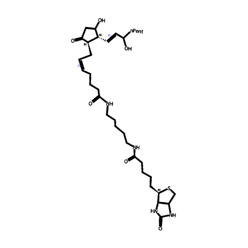 CCCCCC(O)/C=C/[C@H]1C(O)CC(=O)[C@@H]1C/C=C\CCCC(=O)NCCCCCNC(=O)CCCC[C@H]1SCC2NC(=O)NC21